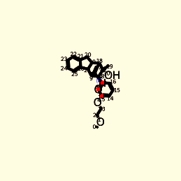 COCCOCO/N=C1\C2C(c3ccccc3)=CC(C3Cc4ccccc4C23)C1(C)O